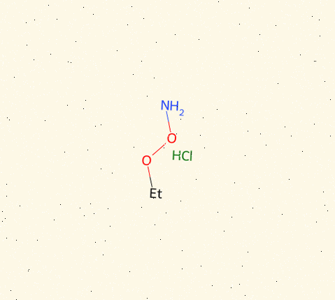 CCOON.Cl